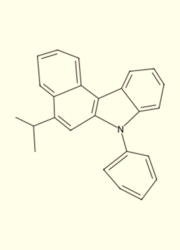 CC(C)c1cc2c(c3ccccc13)c1ccccc1n2-c1ccccc1